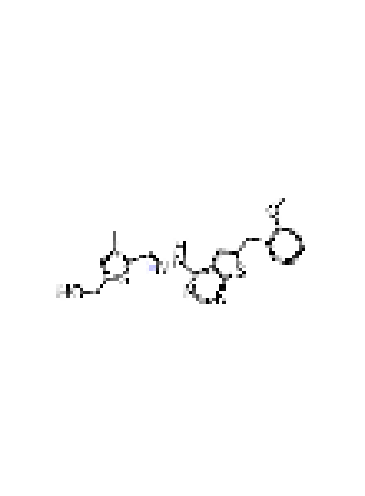 COc1ccccc1Cc1cc2c(N/N=C/c3sc(CO)cc3C)ncnc2s1